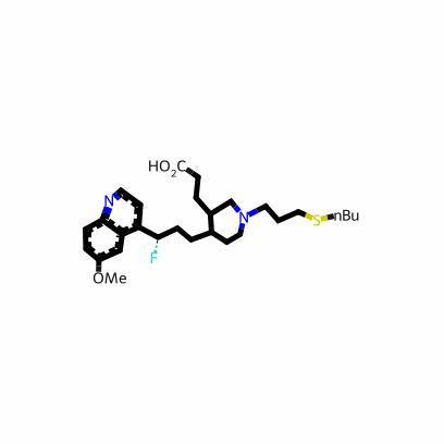 CCCCSCCCN1CCC(CC[C@H](F)c2ccnc3ccc(OC)cc23)C(CCC(=O)O)C1